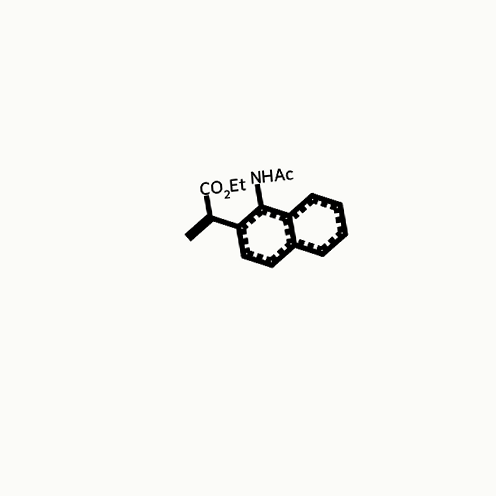 C=C(C(=O)OCC)c1ccc2ccccc2c1NC(C)=O